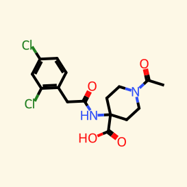 CC(=O)N1CCC(NC(=O)Cc2ccc(Cl)cc2Cl)(C(=O)O)CC1